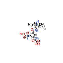 CC1(C)CC(NC(=O)c2cc(NC(=O)C(=O)O)cc(NC(=O)C(=O)O)c2)CC(C)(C)N1